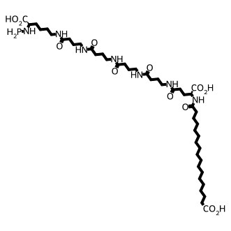 O=C(O)CCCCCCCCCCCCCCCCC(=O)N[C@@H](CCC(=O)NCCCC(=O)NCCCC(=O)NCCCC(=O)NCCCC(=O)NCCCC[C@H](NP)C(=O)O)C(=O)O